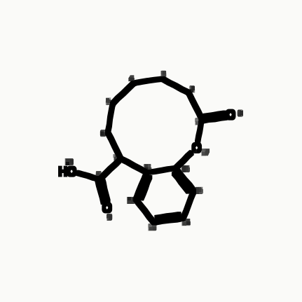 O=C1CCCCCC(C(=O)O)c2ccccc2O1